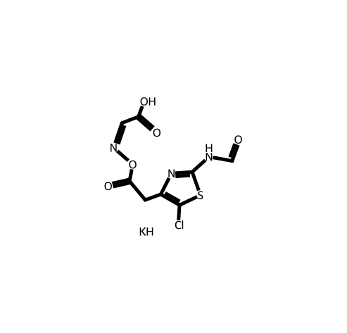 O=CNc1nc(CC(=O)O/N=C\C(=O)O)c(Cl)s1.[KH]